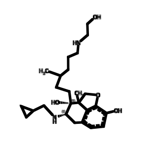 CC(CCCNCCO)CC[C@]1(O)[C@@H](NCC2CC2)Cc2ccc(O)c3c2C1(C)CO3